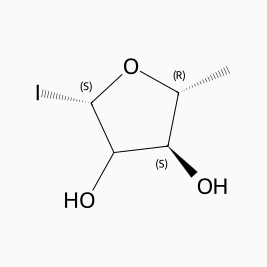 C[C@H]1O[C@@H](I)C(O)[C@@H]1O